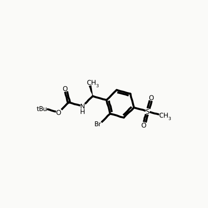 C[C@H](NC(=O)OC(C)(C)C)c1ccc(S(C)(=O)=O)cc1Br